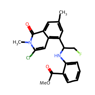 COC(=O)c1ccccc1NC(CF)c1cc(C)cc2c(=O)n(C)c(Cl)cc12